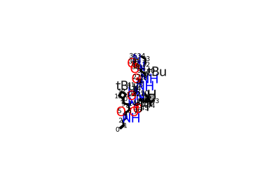 C=CCNC(=O)C(=O)C(CC1CCC1)NC(=O)[C@@H]1[C@@H]2[C@H](CN1C(=O)[C@@H](NC(=O)N[C@H](CN1CCCN(C)S1(=O)=O)C(C)(C)C)C(C)(C)C)C2(C)C